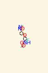 Cc1nnc(-c2cccc(Oc3ccc(NC(=O)OC(C)(C)C)c(F)c3)c2)o1